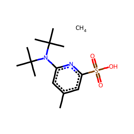 C.Cc1cc(N(C(C)(C)C)C(C)(C)C)nc(S(=O)(=O)O)c1